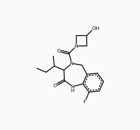 CCC(C)C1C(=O)Nc2c(F)cccc2CN1C(=O)N1CC(O)C1